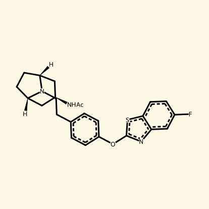 CC(=O)N[C@@H]1C[C@H]2CC[C@@H](C1)N2CCc1ccc(Oc2nc3cc(F)ccc3s2)cc1